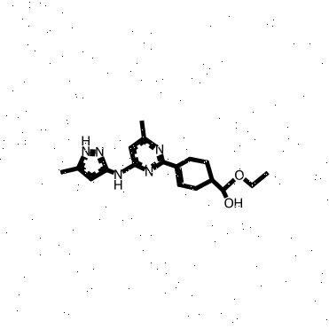 CCOC(O)C1CC=C(c2nc(C)cc(Nc3cc(C)[nH]n3)n2)CC1